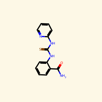 NC(=O)c1ccccc1NC(=S)Nc1ccccn1